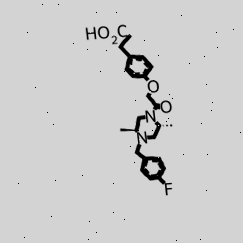 C[C@@H]1CN(Cc2ccc(F)cc2)[C@@H](C)CN1C(=O)COc1ccc(CCC(=O)O)cc1